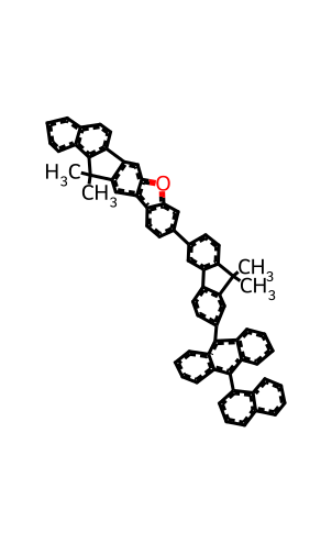 CC1(C)c2ccc(-c3ccc4c(c3)oc3cc5c(cc34)C(C)(C)c3c-5ccc4ccccc34)cc2-c2ccc(-c3c4ccccc4c(-c4cccc5ccccc45)c4ccccc34)cc21